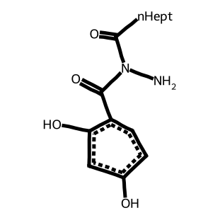 CCCCCCCC(=O)N(N)C(=O)c1ccc(O)cc1O